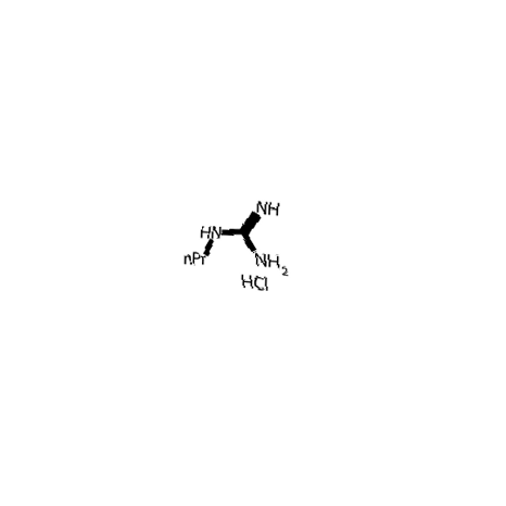 CCCNC(=N)N.Cl